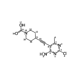 Cc1nc(Cl)nc(N)c1C#CC1CCN(C(=O)O)CC1